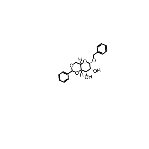 O[C@@H]1[C@@H](O)[C@@H](OCc2ccccc2)O[C@@H]2COC(c3ccccc3)O[C@@H]12